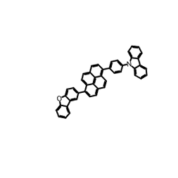 c1ccc2c(c1)oc1ccc(-c3ccc4ccc5c(-c6ccc(-n7c8ccccc8c8ccccc87)cc6)ccc6ccc3c4c65)cc12